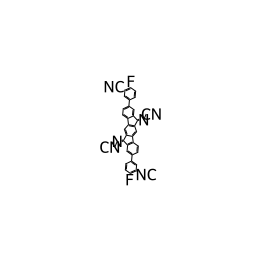 [C-]#[N+]/N=c1\c2cc(-c3ccc(F)c([N+]#[C-])c3)ccc2c2cc3/c(=N/C#N)c4cc(-c5ccc(F)c(C#N)c5)ccc4c3cc12